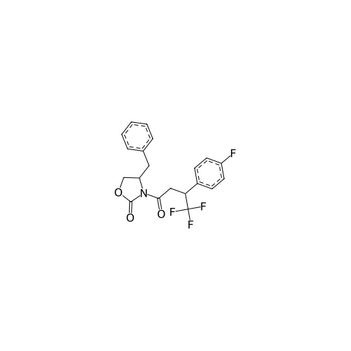 O=C(CC(c1ccc(F)cc1)C(F)(F)F)N1C(=O)OCC1Cc1ccccc1